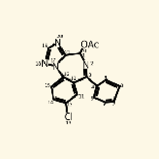 CC(=O)OC1N=C(c2ccccc2)c2cc(Cl)ccc2-n2ncnc21